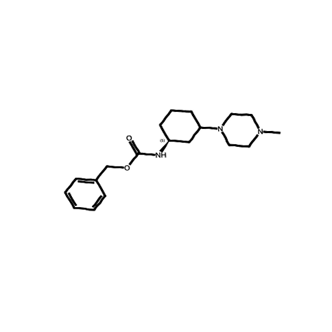 CN1CCN(C2CCC[C@H](NC(=O)OCc3ccccc3)C2)CC1